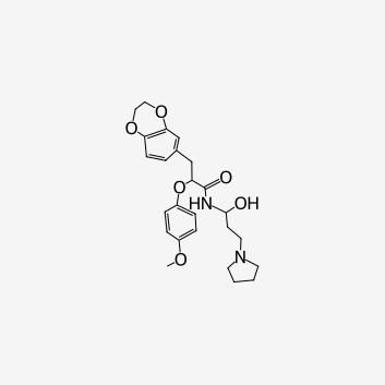 COc1ccc(OC(Cc2ccc3c(c2)OCCO3)C(=O)NC(O)CCN2CCCC2)cc1